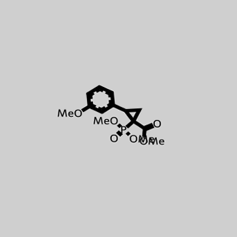 COC(=O)C1(P(=O)(OC)OC)CC1c1cccc(OC)c1